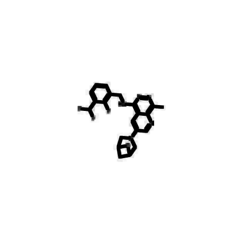 Cc1nnc(NCc2cccc(C(F)F)c2F)c2cc(N3CC4CC(C3)O4)cnc12